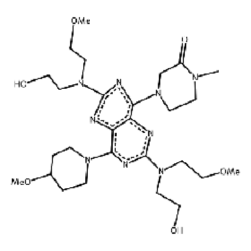 COCCN(CCO)c1nc(N2CCN(C)C(=O)C2)c2nc(N(CCO)CCOC)nc(N3CCC(OC)CC3)c2n1